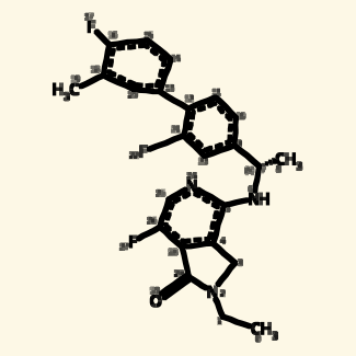 CCN1Cc2c(N[C@@H](C)c3ccc(-c4ccc(F)c(C)c4)c(F)c3)ncc(F)c2C1=O